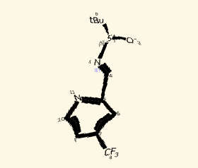 CC(C)(C)[S@@+]([O-])/N=C/c1cc(C(F)(F)F)ccn1